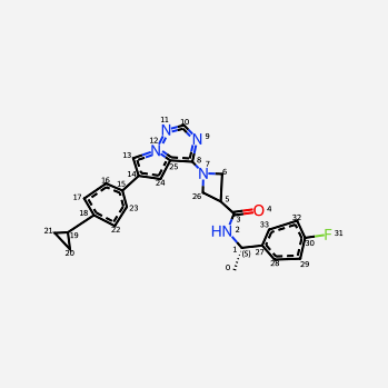 C[C@H](NC(=O)C1CN(c2ncnn3cc(-c4ccc(C5CC5)cc4)cc23)C1)c1ccc(F)cc1